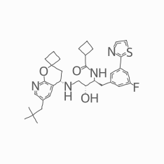 CC(C)(C)Cc1cnc2c(c1)[C@@H](NC[C@@H](O)[C@H](Cc1cc(F)cc(-c3nccs3)c1)NC(=O)C1CCC1)CC1(CCC1)O2